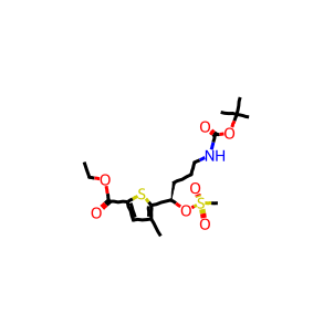 CCOC(=O)c1cc(C)c([C@@H](CCCNC(=O)OC(C)(C)C)OS(C)(=O)=O)s1